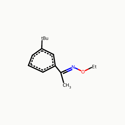 CCON=C(C)c1cccc(C(C)(C)C)c1